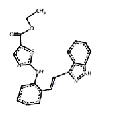 CCOC(=O)c1cnc(Nc2ccccc2/C=C/c2n[nH]c3ccccc23)s1